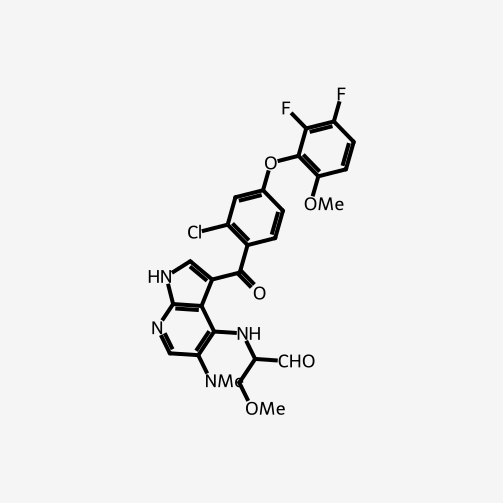 CNc1cnc2[nH]cc(C(=O)c3ccc(Oc4c(OC)ccc(F)c4F)cc3Cl)c2c1NC(C=O)COC